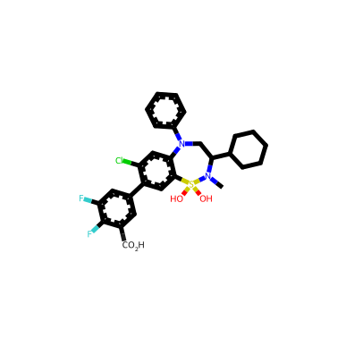 CN1C(C2CCCCC2)CN(c2ccccc2)c2cc(Cl)c(-c3cc(F)c(F)c(C(=O)O)c3)cc2S1(O)O